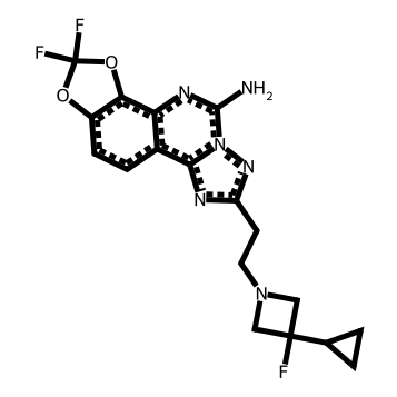 Nc1nc2c3c(ccc2c2nc(CCN4CC(F)(C5CC5)C4)nn12)OC(F)(F)O3